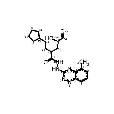 Cc1cccc2nnc(NNC(=O)C(CCC3CCCC3)CN(O)C=O)nc12